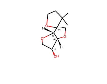 CC1(C)CCO[C@@]12CO[C@@H]1[C@@H](O)CO[C@@H]12